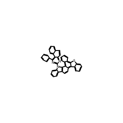 c1ccc(-c2nc(-n3c4ccccc4c4ccc5c6c7ccccc7sc6c6ccccc6c5c43)nc3ccc4ccccc4c23)cc1